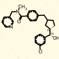 CN(Cc1cccnc1)C(=O)c1ccc(CC2CC[C@H]([C@H](O)c3cccc(Cl)c3)C2)cc1